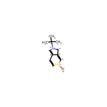 CC(C)(C)N1C=C2C=C[SH](Br)C=C2C1